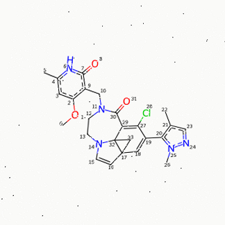 COc1cc(C)[nH]c(=O)c1CN1CCN2C=CC34C=C(c5c(C)cnn5C)C(Cl)=C(C1=O)C23C4